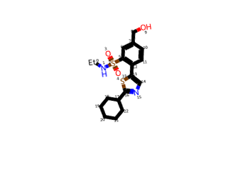 CCNS(=O)(=O)c1cc(CO)ccc1-c1cnc(C2CCCCC2)s1